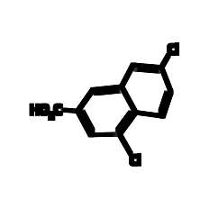 O=C(O)c1cc(Cl)c2ccc(Cl)cc2c1